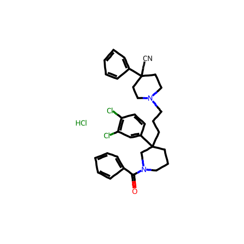 Cl.N#CC1(c2ccccc2)CCN(CCCC2(c3ccc(Cl)c(Cl)c3)CCCN(C(=O)c3ccccc3)C2)CC1